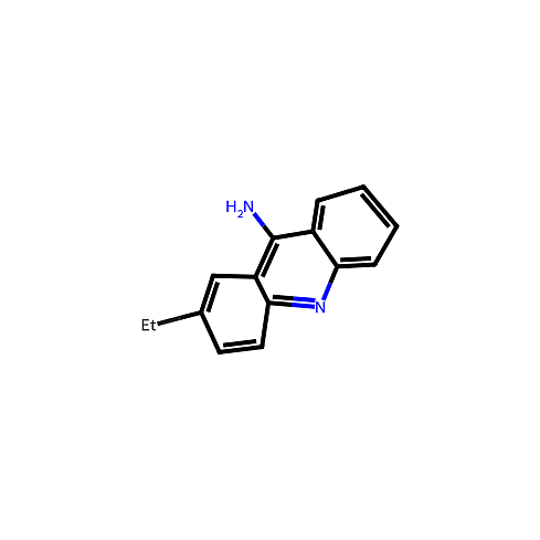 CCc1ccc2nc3ccccc3c(N)c2c1